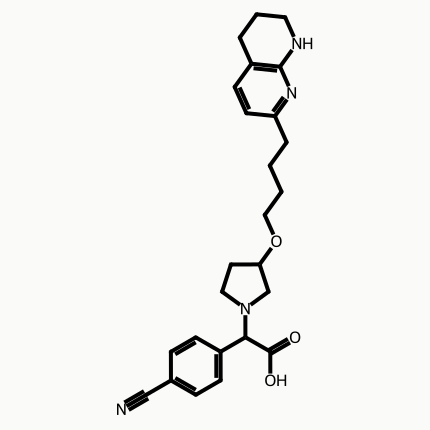 N#Cc1ccc(C(C(=O)O)N2CCC(OCCCCc3ccc4c(n3)NCCC4)C2)cc1